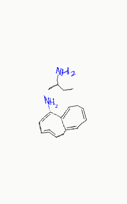 CC(C)N.Nc1cccc2ccccc12